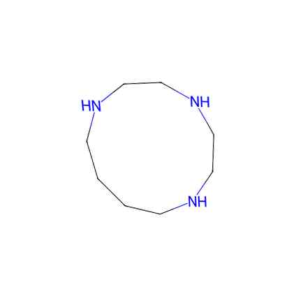 C1CCNCCNCCNC1